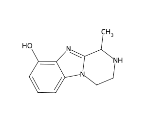 CC1NCCn2c1nc1c(O)cccc12